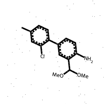 COC(OC)c1cc(-c2ccc(C)cc2Cl)ccc1N